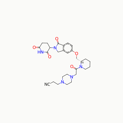 N#CCCN1CCN(CC(=O)N2CCCC[C@H]2COc2ccc3c(c2)CN(C2CCC(=O)NC2=O)C3=O)CC1